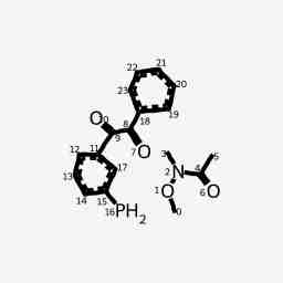 CON(C)C(C)=O.O=C(C(=O)c1cccc(P)c1)c1ccccc1